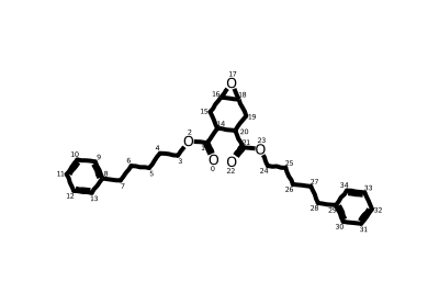 O=C(OCCCCCc1ccccc1)C1CC2OC2CC1C(=O)OCCCCCc1ccccc1